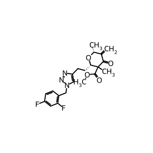 C=C1C(=O)C(C)(C(=O)OC)[C@H](CCc2cn(Cc3ccc(F)cc3F)nn2)O[C@@H]1C